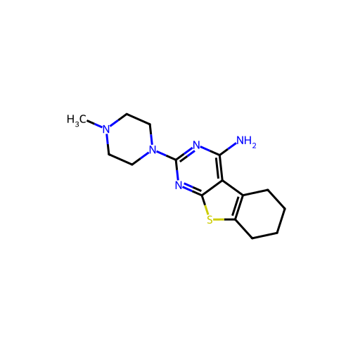 CN1CCN(c2nc(N)c3c4c(sc3n2)CCCC4)CC1